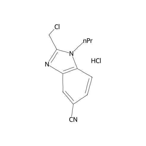 CCCn1c(CCl)nc2cc(C#N)ccc21.Cl